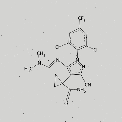 CN(C)/C=N/c1c(C2(C(N)=O)CC2)c(C#N)nn1-c1c(Cl)cc(C(F)(F)F)cc1Cl